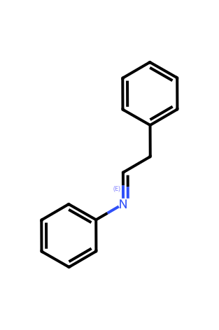 C(/Cc1ccccc1)=N\c1ccccc1